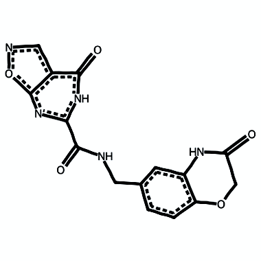 O=C1COc2ccc(CNC(=O)c3nc4oncc4c(=O)[nH]3)cc2N1